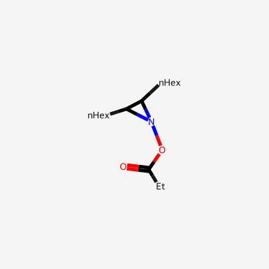 CCCCCCC1C(CCCCCC)N1OC(=O)CC